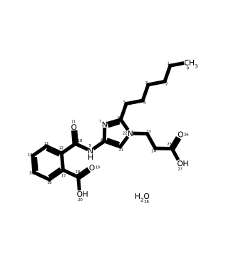 CCCCCCc1nc(NC(=O)c2ccccc2C(=O)O)cn1CCC(=O)O.O